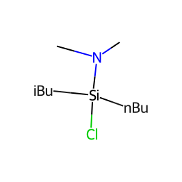 CCCC[Si](Cl)(C(C)CC)N(C)C